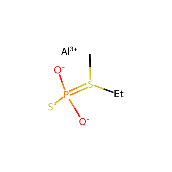 CCS(C)=P([O-])([O-])[S-].[Al+3]